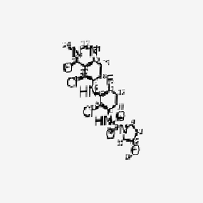 CO[C@@H]1CCN(S(=O)(=O)Nc2ccc(F)c(Nc3ccc4ncn(C)c(=O)c4c3Cl)c2Cl)C1